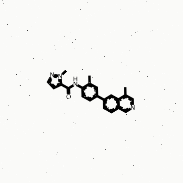 Cc1cc(-c2ccc3cncc(C)c3c2)ccc1NC(=O)c1ccnn1C